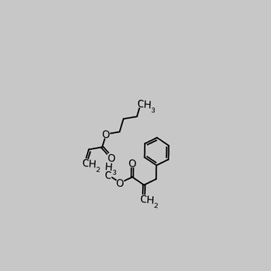 C=C(Cc1ccccc1)C(=O)OC.C=CC(=O)OCCCC